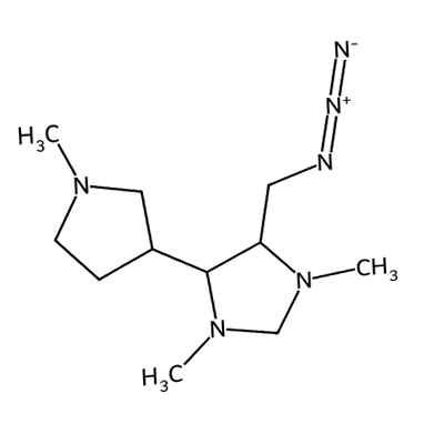 CN1CCC(C2C(CN=[N+]=[N-])N(C)CN2C)C1